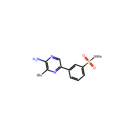 CNS(=O)(=O)c1cccc(-c2cnc(N)c(C(C)(C)C)n2)c1